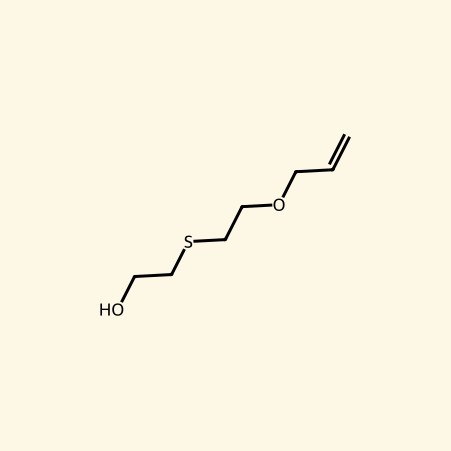 C=CCOCCSCCO